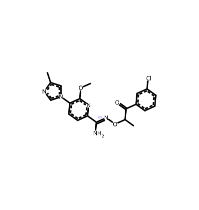 COc1nc(/C(N)=N/OC(C)C(=O)c2cccc(Cl)c2)ccc1-n1cnc(C)c1